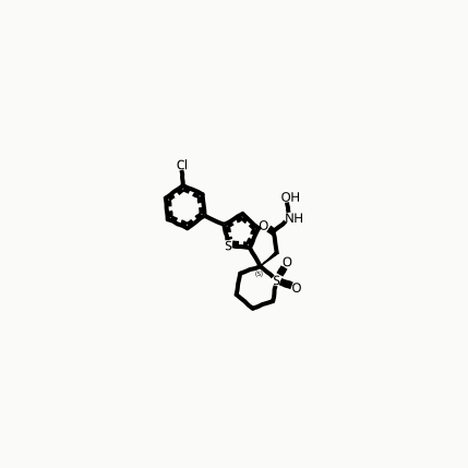 O=C(C[C@]1(c2ccc(-c3cccc(Cl)c3)s2)CCCCS1(=O)=O)NO